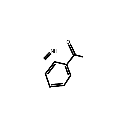 C=N.CC(=O)c1ccccc1